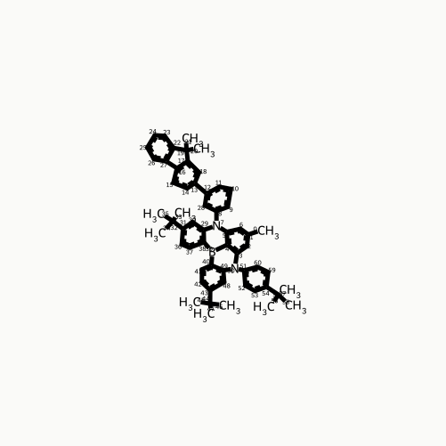 Cc1cc2c3c(c1)N(c1cccc(-c4ccc5c(c4)C(C)(C)c4ccccc4-5)c1)c1cc(C(C)(C)C)ccc1B3c1ccc(C(C)(C)C)cc1N2c1ccc(C(C)(C)C)cc1